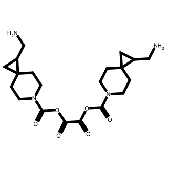 NCC1CC12CCN(C(=O)OC(=O)C(=O)OC(=O)N1CCC3(CC1)CC3CN)CC2